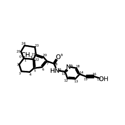 CC12CCCc3cc(C(=O)Nc4ccc(C#CO)cn4)cc(c31)CCC2